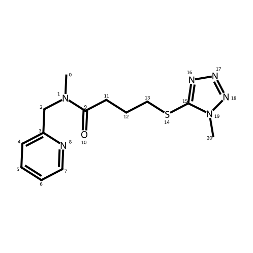 CN(Cc1ccccn1)C(=O)CCCSc1nnnn1C